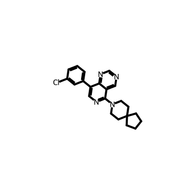 Clc1cccc(-c2cnc(N3CCC4(CCCC4)CC3)c3cncnc23)c1